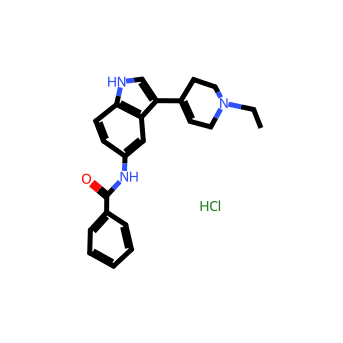 CCN1CC=C(c2c[nH]c3ccc(NC(=O)c4ccccc4)cc23)CC1.Cl